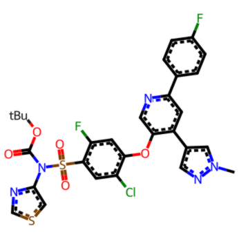 Cn1cc(-c2cc(-c3ccc(F)cc3)ncc2Oc2cc(F)c(S(=O)(=O)N(C(=O)OC(C)(C)C)c3cscn3)cc2Cl)cn1